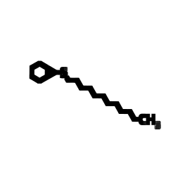 CCCCCCCCCCCCSC1=C2CCCCC21